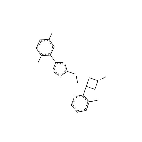 Fc1cccnc1[C@]1(CNc2nnc(-c3cc(Br)ccc3Cl)s2)C[C@H](F)C1